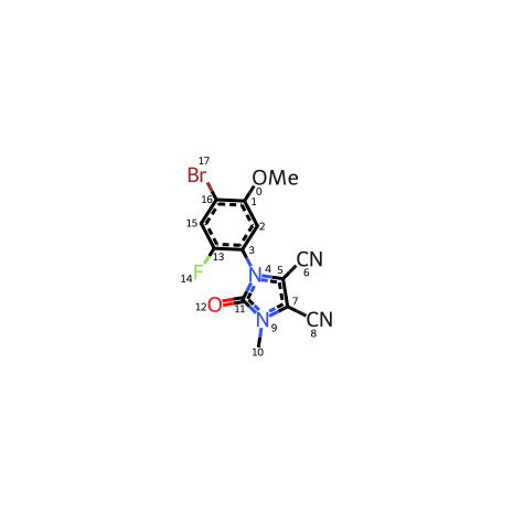 COc1cc(-n2c(C#N)c(C#N)n(C)c2=O)c(F)cc1Br